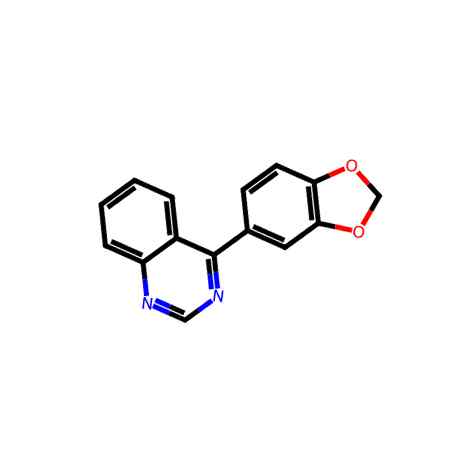 c1ccc2c(-c3ccc4c(c3)OCO4)ncnc2c1